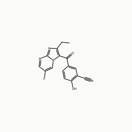 CCc1nc2ncc(F)cn2c1C(=O)c1ccc(O)c(C#N)c1